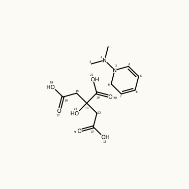 CN(C)N1C=CC=CC1.O=C(O)CC(O)(CC(=O)O)C(=O)O